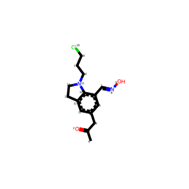 CC(=O)Cc1cc(C=NO)c2c(c1)CCN2CCCCl